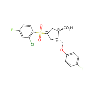 O=C(O)[C@@H]1C[C@H](S(=O)(=O)c2ccc(F)cc2Cl)C[C@H]1COc1ccc(F)cc1